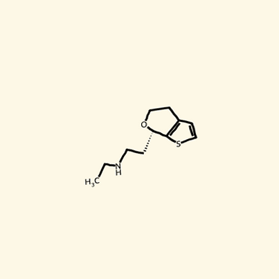 CCNCC[C@@H]1OCCc2ccsc21